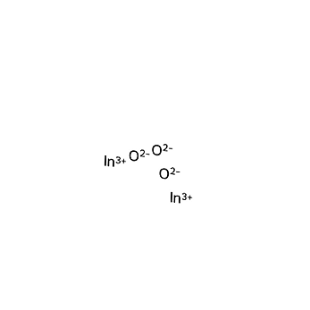 [In+3].[In+3].[O-2].[O-2].[O-2]